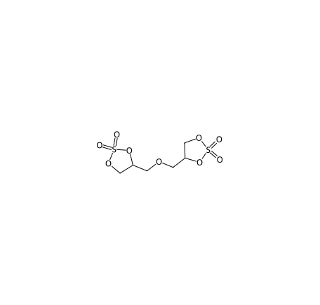 O=S1(=O)OCC(COCC2COS(=O)(=O)O2)O1